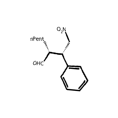 CCCCC[C@@H](C=O)[C@H](C[N+](=O)[O-])c1ccccc1